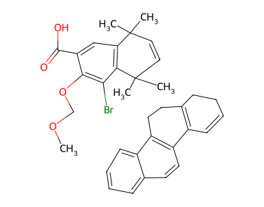 C1=CC2=C(CC1)CCc1c2ccc2ccccc12.COCOc1c(C(=O)O)cc2c(c1Br)C(C)(C)C=CC2(C)C